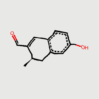 C[C@@H]1Cc2cc(O)ccc2C=C1C=O